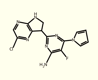 Nc1nc(C2CNc3ncc(Cl)nc32)nc(-n2cccc2)c1F